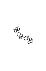 CC1(C)OB(c2ccc3oc(-c4ccc(B5OC(C)(C)C(C)(C)O5)c(F)c4)cc3c2)OC1(C)C